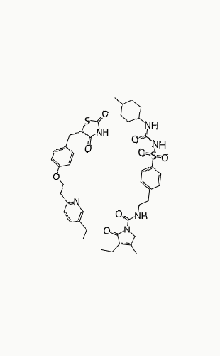 CCC1=C(C)CN(C(=O)NCCc2ccc(S(=O)(=O)NC(=O)NC3CCC(C)CC3)cc2)C1=O.CCc1ccc(CCOc2ccc(CC3SC(=O)NC3=O)cc2)nc1